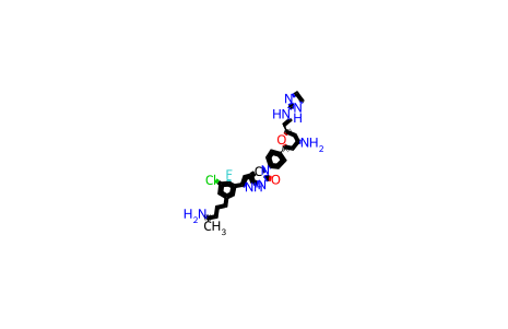 C[C@H](N)CCCc1cc(Cl)c(F)c(-c2cc3cn(-c4ccc([C@H]5CC(N)C[C@H](CCNC6=NCCN6)O5)cc4)c(=O)nc3[nH]2)c1